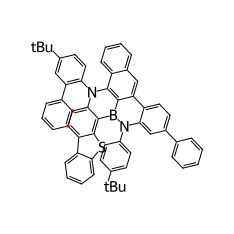 CC(C)(C)c1ccc(N2B3c4c(cc5ccccc5c4N(c4ccc(C(C)(C)C)cc4-c4ccccc4)c4ccc5c(sc6ccccc65)c43)-c3ccc(-c4ccccc4)cc32)cc1